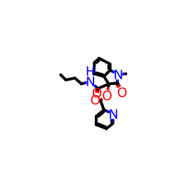 CCCCNC(=O)C1(OC(=O)c2ccccn2)C(=O)N(C)c2ccccc21